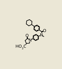 CN(C(=O)c1ccc(C2CCCCC2)cc1)c1ccc(N2CC(C(=O)O)CC2=O)cc1